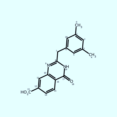 Cc1cc(C)cc(Cc2nc3cc(C(=O)O)ccc3c(=O)[nH]2)c1